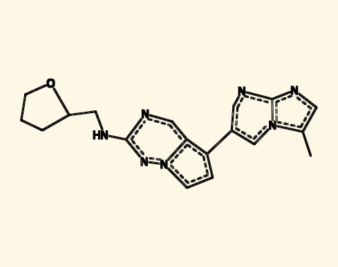 Cc1cnc2ncc(-c3ccn4nc(NCC5CCCO5)ncc34)cn12